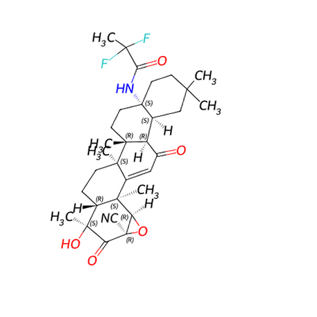 CC1(C)CC[C@]2(NC(=O)C(C)(F)F)CC[C@]3(C)[C@H](C(=O)C=C4[C@@]5(C)[C@H]6O[C@@]6(C#N)C(=O)[C@@](C)(O)[C@@H]5CC[C@]43C)[C@@H]2C1